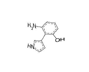 Nc1cccc(O)c1-c1cc[nH]c1